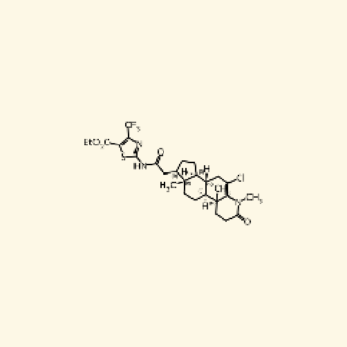 CCOC(=O)c1sc(NC(=O)C[C@H]2CC[C@H]3[C@@H]4CC(Cl)=C5N(C)C(=O)CC[C@]5(C)[C@H]4CC[C@]23C)nc1C(F)(F)F